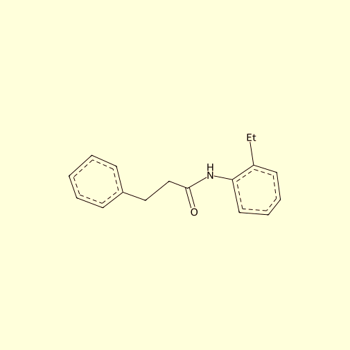 CCc1ccccc1NC(=O)CCc1ccccc1